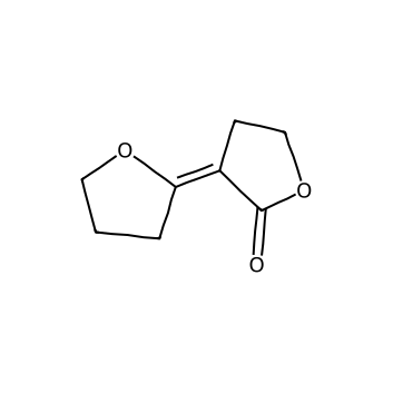 O=C1OCCC1=C1CCCO1